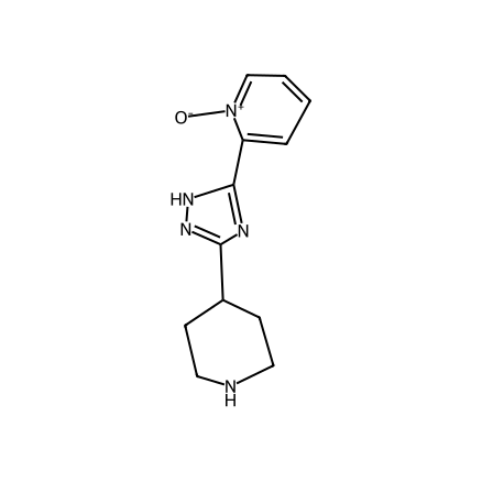 [O-][n+]1ccccc1-c1nc(C2CCNCC2)n[nH]1